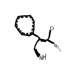 N=C/C(=C(\N)Cl)c1ccccc1